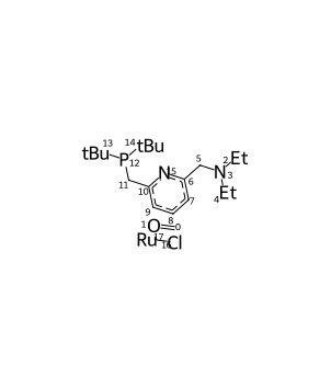 C=O.CCN(CC)Cc1cccc(CP(C(C)(C)C)C(C)(C)C)n1.[Cl][Ru]